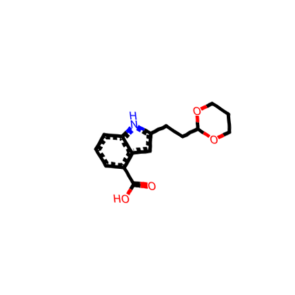 O=C(O)c1cccc2[nH]c(CCC3OCCCO3)cc12